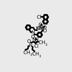 CCCCN(CCCC)C(=O)c1nn(-c2ccc(C(=O)NS(=O)(=O)c3ccc4cccc(Cl)c4c3)cc2C(=O)N2Cc3ccccc3CC2CO)c(C)c1Cl